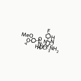 COc1cc(C(=O)NC[C@@](O)(c2cc3c(c(-c4ccc(F)cc4)n2)NC[C@@]3(C)N)C(F)(F)F)ccc1OC1CC1